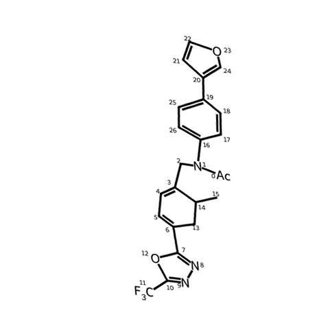 CC(=O)N(CC1=CC=C(c2nnc(C(F)(F)F)o2)CC1C)c1ccc(-c2ccoc2)cc1